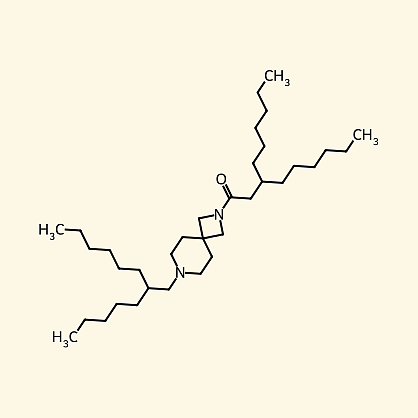 CCCCCCC(CCCCCC)CC(=O)N1CC2(CCN(CC(CCCCC)CCCCCC)CC2)C1